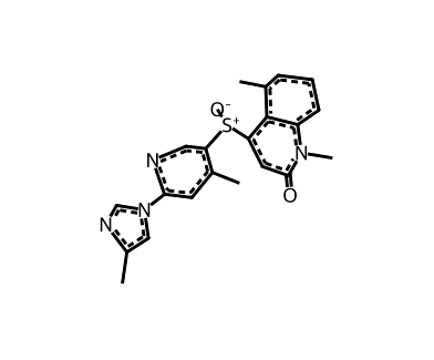 Cc1cn(-c2cc(C)c([S+]([O-])c3cc(=O)n(C)c4cccc(C)c34)cn2)cn1